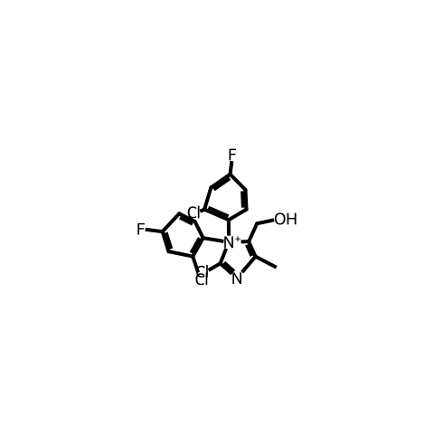 CC1=C(CO)[N+](c2ccc(F)cc2Cl)(c2ccc(F)cc2Cl)C(Cl)=N1